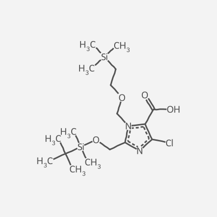 CC(C)(C)[Si](C)(C)OCc1nc(Cl)c(C(=O)O)n1COCC[Si](C)(C)C